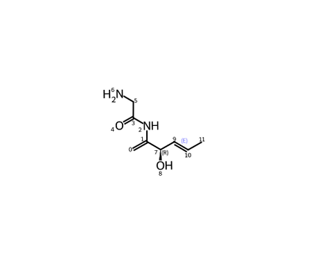 C=C(NC(=O)CN)[C@H](O)/C=C/C